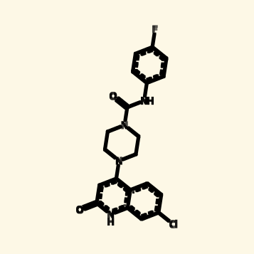 O=C(Nc1ccc(F)cc1)N1CCN(c2cc(=O)[nH]c3cc(Cl)ccc23)CC1